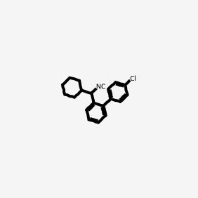 [C-]#[N+]C(c1ccccc1-c1ccc(Cl)cc1)C1CCCCC1